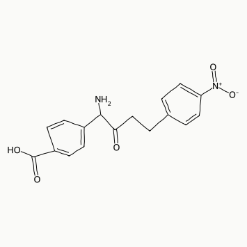 NC(C(=O)CCc1ccc([N+](=O)[O-])cc1)c1ccc(C(=O)O)cc1